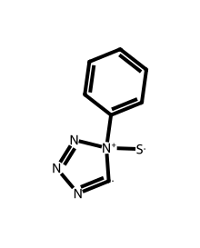 [S][N+]1(c2ccccc2)[C]=NN=N1